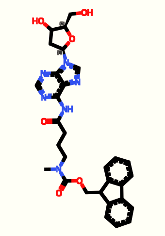 CN(CCCC(=O)Nc1ncnc2c1ncn2[C@H]1CC(O)[C@@H](CO)O1)C(=O)OCC1c2ccccc2-c2ccccc21